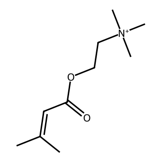 CC(C)=CC(=O)OCC[N+](C)(C)C